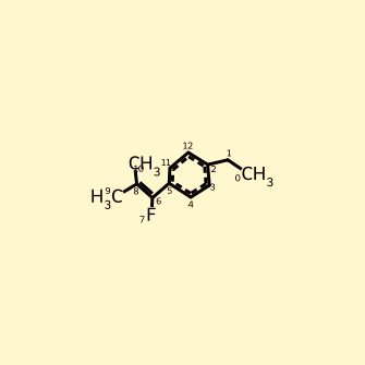 CCc1ccc(C(F)=C(C)C)cc1